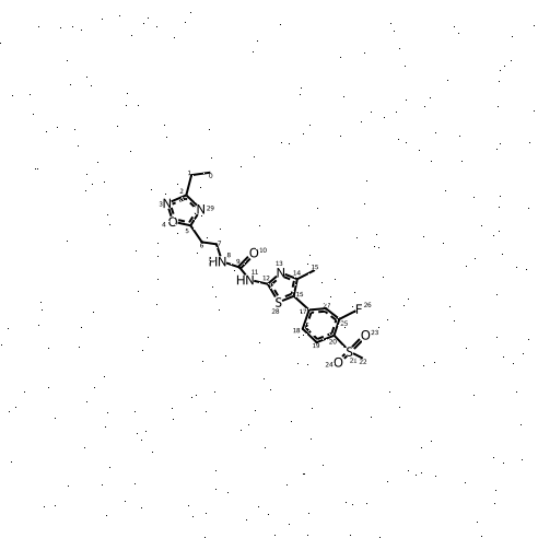 CCc1noc(CCNC(=O)Nc2nc(C)c(-c3ccc(S(C)(=O)=O)c(F)c3)s2)n1